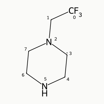 FC(F)(F)CN1[CH]CNCC1